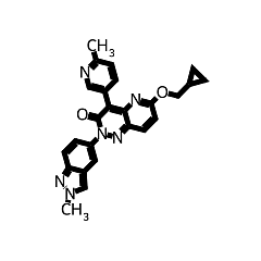 Cc1ccc(-c2c(=O)n(-c3ccc4nn(C)cc4c3)nc3ccc(OCC4CC4)nc23)cn1